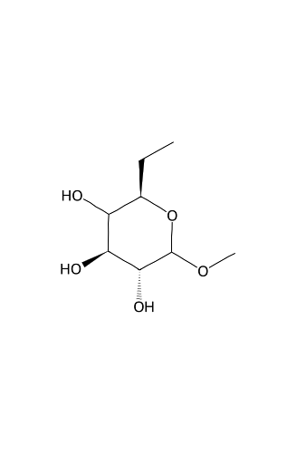 CC[C@H]1OC(OC)[C@H](O)[C@@H](O)C1O